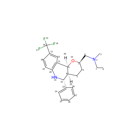 CCN(C)C[C@H]1CC[C@@H]2[C@H](O1)c1cc(C(F)(F)F)ccc1N[C@H]2c1ccccc1